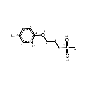 Cc1ccc(OCCCS(C)(=O)=O)nc1